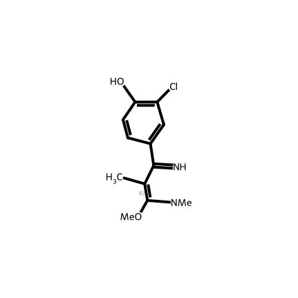 CN/C(OC)=C(/C)C(=N)c1ccc(O)c(Cl)c1